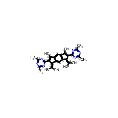 Cc1nc(C2=C(C#N)c3cc4c(cc3C2=C(C#N)C#N)C(=C(C#N)C#N)C(c2nc(C(F)(F)F)nc(C(F)(F)F)n2)=C4C#N)nc(C(F)(F)F)n1